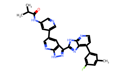 Cc1cc(F)cc(-c2ccnc3[nH]c(-c4n[nH]c5ncc(-c6cncc(NC(=O)C(C)C)c6)cc45)nc23)c1